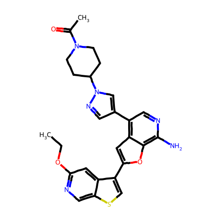 CCOc1cc2c(-c3cc4c(-c5cnn(C6CCN(C(C)=O)CC6)c5)cnc(N)c4o3)csc2cn1